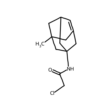 CC12CC3=CC(C1)CC(NC(=O)CCl)(C3)C2